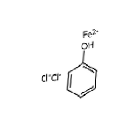 Oc1ccccc1.[Cl-].[Cl-].[Fe+2]